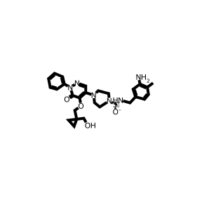 Cc1ccc(CN[S@@+]([O-])N2CCN(c3cnn(-c4ccccc4)c(=O)c3OCC3(CO)CC3)CC2)cc1N